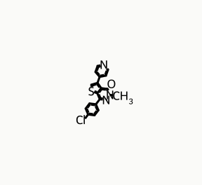 Cn1nc(-c2ccc(Cl)cc2)c2scc(-c3ccncc3)c2c1=O